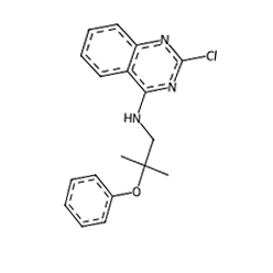 CC(C)(CNc1nc(Cl)nc2ccccc12)Oc1ccccc1